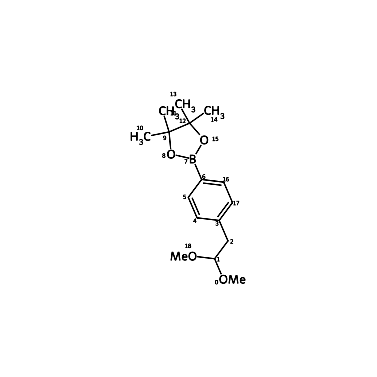 COC(Cc1ccc(B2OC(C)(C)C(C)(C)O2)cc1)OC